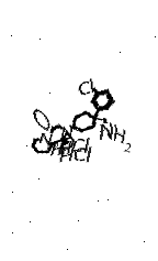 Cl.Cl.NC[C@]1(c2cccc(Cl)c2)CC[C@@H](N2CC(=O)N3CCCC[C@H]3C2=O)CC1